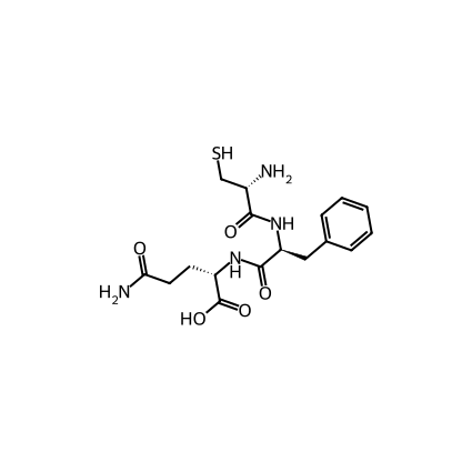 NC(=O)CC[C@H](NC(=O)[C@H](Cc1ccccc1)NC(=O)[C@@H](N)CS)C(=O)O